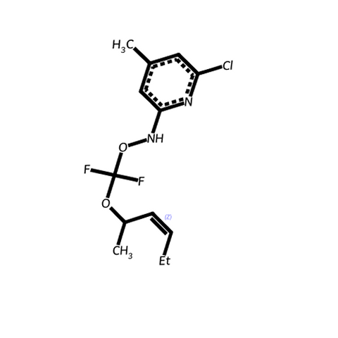 CC/C=C\C(C)OC(F)(F)ONc1cc(C)cc(Cl)n1